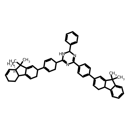 CC1(C)C2=CC(c3ccc(C4=NC(c5ccccc5)NC(C5C=CC(C6C=C7C(=CC6)C6CCC=C[C@@]6(C)C7(C)C)=CC5)=N4)cc3)=CCC2c2ccccc21